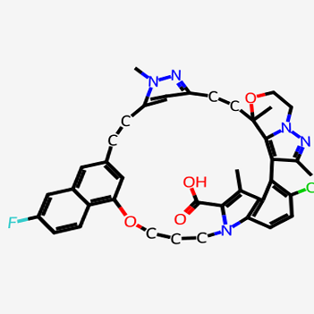 Cc1nn2c3c1-c1c(Cl)ccc4c1c(C)c(C(=O)O)n4CCCOc1cc(cc4cc(F)ccc14)CCc1cc(nn1C)CCC3(C)OCC2